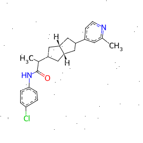 Cc1cc(C2C[C@@H]3CC(C(C)C(=O)Nc4ccc(Cl)cc4)C[C@@H]3C2)ccn1